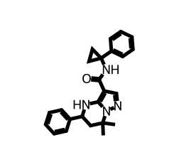 CC1(C)CC(c2ccccc2)Nc2c(C(=O)NC3(c4ccccc4)CC3)cnn21